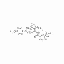 COc1c(NC(=O)c2cccc(C(C)(F)F)n2)cc2cn([C@H]3CC[C@H](C)CC3)nc2c1C